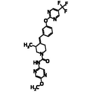 COc1cnc(NC(=O)N2CCC(=Cc3cccc(Oc4ncc(C(F)(F)F)cn4)c3)C(C)C2)cn1